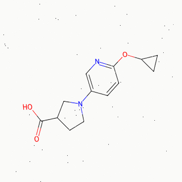 O=C(O)C1CCN(c2ccc(OC3CC3)nc2)C1